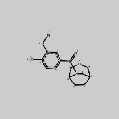 CCOc1cc(C(=O)N2CC3CCC2COC3)ccc1C